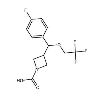 O=C(O)N1CC(C(OCC(F)(F)F)c2ccc(F)cc2)C1